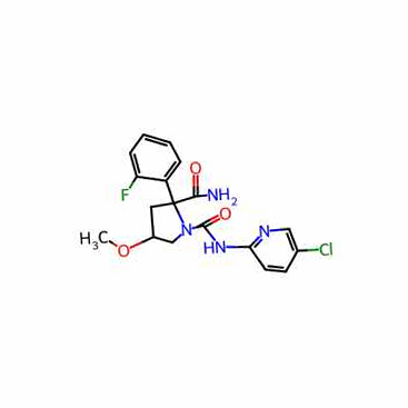 COC1CN(C(=O)Nc2ccc(Cl)cn2)C(C(N)=O)(c2ccccc2F)C1